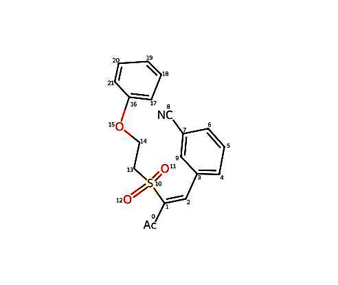 CC(=O)C(=Cc1cccc(C#N)c1)S(=O)(=O)CCOc1ccccc1